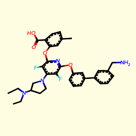 CCN(CC)C1CCN(c2c(F)c(Oc3cccc(-c4cccc(CN)c4)c3)nc(Oc3cc(C)ccc3C(=O)O)c2F)C1